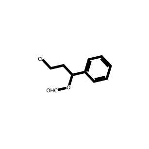 O=COC(CCCl)c1ccccc1